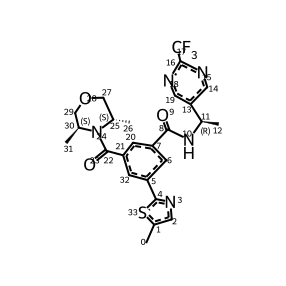 Cc1cnc(-c2cc(C(=O)N[C@H](C)c3cnc(C(F)(F)F)nc3)cc(C(=O)N3[C@@H](C)COC[C@@H]3C)c2)s1